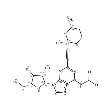 CCC(CC)Nc1nc(C#C[C@]2(O)CCC[C@@H](C)C2)nc2c1ncn2[C@@H]1O[C@H](CO)C(O)[C@@H]1O